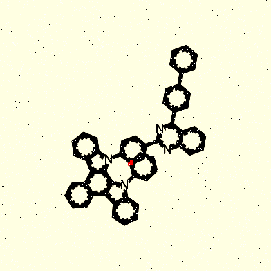 c1ccc(-c2ccc(-c3nc(-c4ccc(-n5c6ccccc6c6c7ccccc7c7c8ccccc8n(-c8ccccc8)c7c65)cc4)nc4ccccc34)cc2)cc1